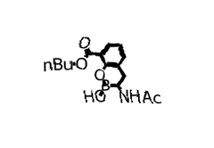 CCCCOC(=O)c1cccc2c1OB(O)C(NC(C)=O)C2